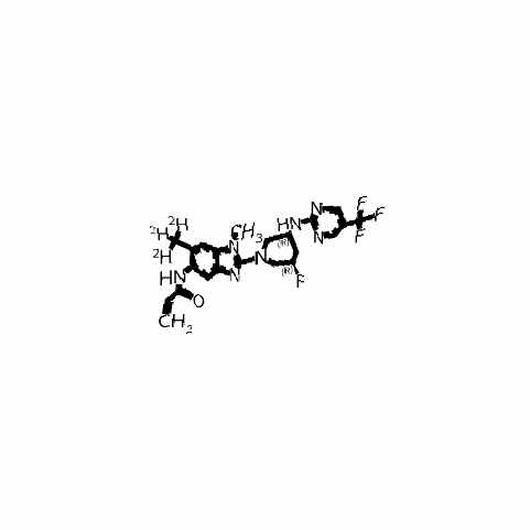 [2H]C([2H])([2H])c1cc2c(cc1NC(=O)C=C)nc(N1C[C@H](F)C[C@@H](Nc3ncc(C(F)(F)F)cn3)C1)n2C